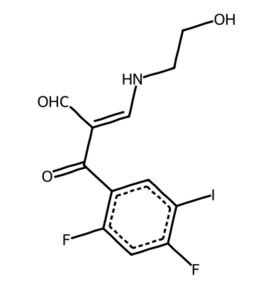 O=CC(=CNCCO)C(=O)c1cc(I)c(F)cc1F